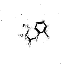 CCO[PH](=O)C(=O)Oc1ccccc1C